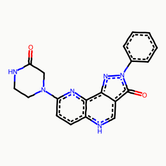 O=C1CN(c2ccc3[nH]cc4c(=O)n(-c5ccccc5)nc-4c3n2)CCN1